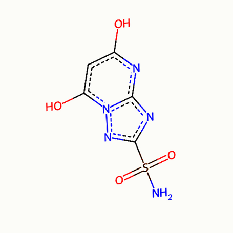 NS(=O)(=O)c1nc2nc(O)cc(O)n2n1